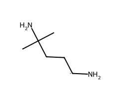 CC(C)(N)CC[CH]N